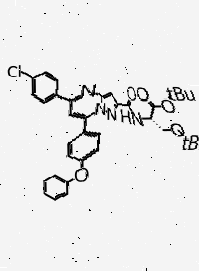 CC(C)(C)OC[C@H](NC(=O)c1cc2nc(-c3ccc(Cl)cc3)cc(-c3ccc(Oc4ccccc4)cc3)n2n1)C(=O)OC(C)(C)C